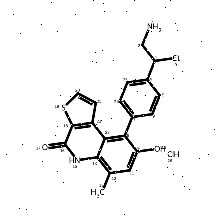 CCC(CN)c1ccc(-c2c(O)cc(C)c3[nH]c(=O)c4sccc4c23)cc1.Cl